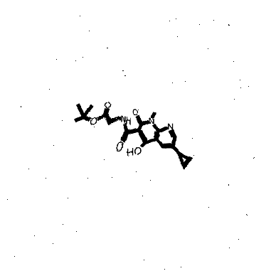 Cn1c(=O)c(C(=O)NCC(=O)OC(C)(C)C)c(O)c2cc(C3CC3)cnc21